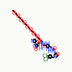 CCOCCOCCOCCOCCOCCOCCOCCOCCOCC(NC(=O)c1ccc(CNC(=O)NC[C@H]2CN(Cc3ccc(Cl)c(Cl)c3)CCO2)cc1)NC(=O)[C@H]1CC(=O)N(C)[C@@H]1c1cccnc1